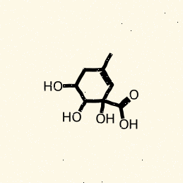 CC1=CC(O)(C(=O)O)C(O)C(O)C1